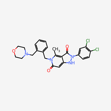 Cc1c2c(=O)n(-c3ccc(Cl)c(Cl)c3)[nH]c2cc(=O)n1Cc1ccccc1CN1CCOCC1